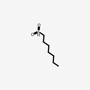 CCCCC[CH]C[SH](=O)=O